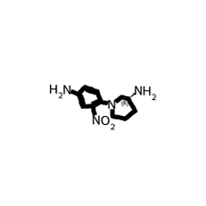 Nc1ccc(N2CCC[C@@H](N)C2)c([N+](=O)[O-])c1